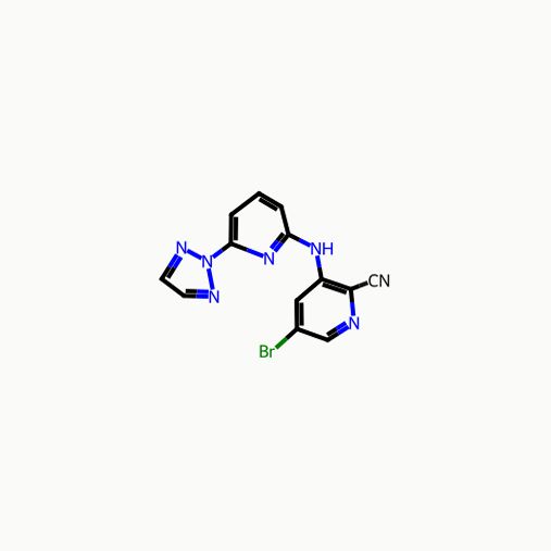 N#Cc1ncc(Br)cc1Nc1cccc(-n2nccn2)n1